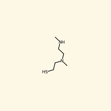 CNCCN(C)CCS